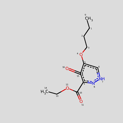 CCCCOc1c[nH]nc(C(=O)OCC)c1=O